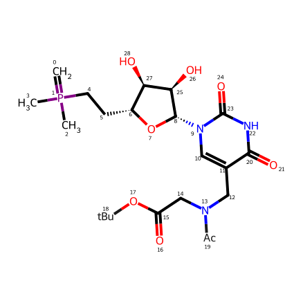 C=P(C)(C)CC[C@H]1O[C@@H](n2cc(CN(CC(=O)OC(C)(C)C)C(C)=O)c(=O)[nH]c2=O)[C@H](O)[C@@H]1O